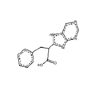 O=C(O)C(Cc1ccccc1)c1nc2ncncc2[nH]1